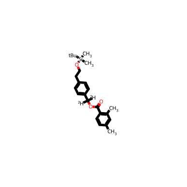 [2H]C([2H])(OC(=O)c1ccc(C)cc1C)c1ccc(CCO[Si](C)(C)C(C)(C)C)cc1